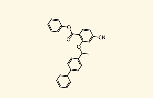 CC(Oc1cc(C#N)ccc1C(=O)Oc1ccccc1)c1ccc(-c2ccccc2)cc1